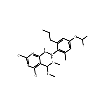 CCCc1cc(OC(F)F)cc(C)c1NNc1nc(Cl)nc(Cl)c1C(OC)OC